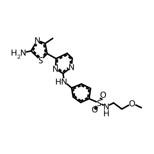 COCCNS(=O)(=O)c1ccc(Nc2nccc(-c3sc(N)nc3C)n2)cc1